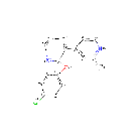 Cc1cc(-c2cccnc2Oc2ccc(Cl)cc2)ccn1